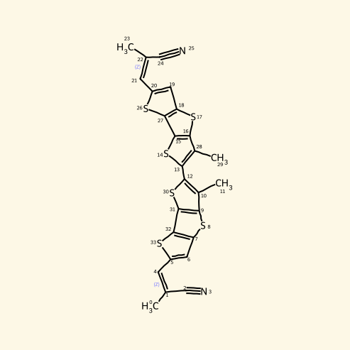 C/C(C#N)=C/c1cc2sc3c(C)c(-c4sc5c(sc6cc(/C=C(/C)C#N)sc65)c4C)sc3c2s1